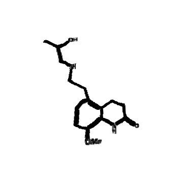 COc1ccc(CCNCC(C)O)c2c1NC(=O)CC2